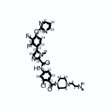 CN(C)CCN1CCN(C(=O)c2ccc(NC(=O)c3ncc(-c4ccc(Oc5ncccn5)c(F)c4F)n3C)cc2Cl)CC1